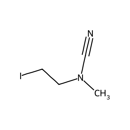 CN(C#N)CCI